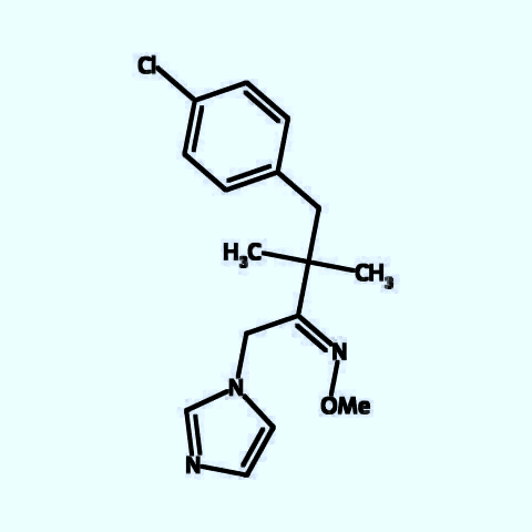 CON=C(Cn1ccnc1)C(C)(C)Cc1ccc(Cl)cc1